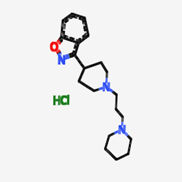 Cl.c1ccc2c(C3CCN(CCCN4CCCCC4)CC3)noc2c1